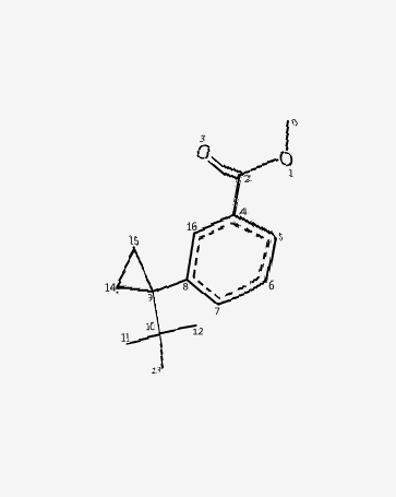 COC(=O)c1cccc(C2(C(C)(C)C)[CH]C2)c1